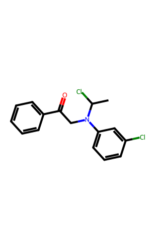 CC(Cl)N(CC(=O)c1ccccc1)c1cccc(Cl)c1